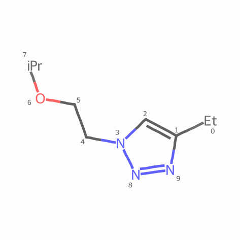 CCc1cn(CCOC(C)C)nn1